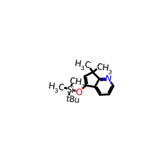 CC1(C)C=C(O[Si](C)(C)C(C)(C)C)c2cccnc21